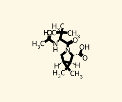 CC(=O)N[C@H](C(=O)N1C[C@H]2[C@@H]([C@H]1C(=O)O)C2(C)C)C(C)(C)C